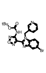 CC(C)(C)OC(=O)Nc1nonc1-c1nc2cc(Br)ccc2n1Cc1cccnc1